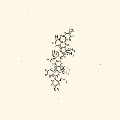 Cc1cc(C#N)ccc1-c1cc2c(c3ccccc13)-c1cc3c(cc1C2(C)C)-c1cc2c(cc1C3(C)C)-c1c(cc(-c3ccc(C#N)cc3C)c3ccccc13)C2(C)C